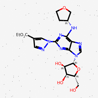 CCOC(=O)c1cnn(-c2nc(N[C@@H]3CCOC3)c3ncn([C@@H]4O[C@H](CO)[C@@H](O)[C@H]4O)c3n2)c1